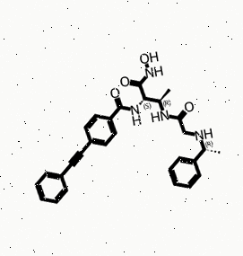 C[C@@H](NCC(=O)N[C@H](C)[C@H](NC(=O)c1ccc(C#Cc2ccccc2)cc1)C(=O)NO)c1ccccc1